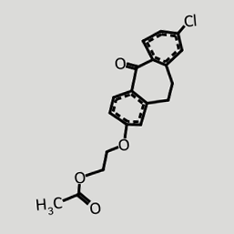 CC(=O)OCCOc1ccc2c(c1)CCc1cc(Cl)ccc1C2=O